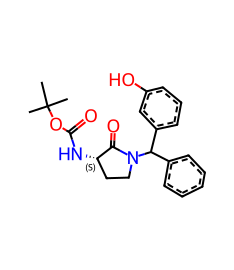 CC(C)(C)OC(=O)N[C@H]1CCN(C(c2ccccc2)c2cccc(O)c2)C1=O